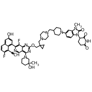 C#Cc1c(F)ccc2cc(O)cc(-c3ncc4c(N5CCC[C@@](C)(O)C5)nc(OCC5(CN6CCN(CC7CCN(c8ccc9c(c8)n(C)c(=O)n9C8CCC(=O)NC8=O)CC7)CC6)CC5)nc4c3F)c12